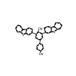 N#Cc1ccc(-c2cc(-c3ccc4c(c3)sc3ccccc34)c(C#N)c(-c3ccc4c(c3)sc3ccccc34)c2)cc1